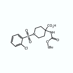 CC(C)(C)OC(=O)NC1(C(=O)O)CCN(S(=O)(=O)c2ccccc2Cl)CC1